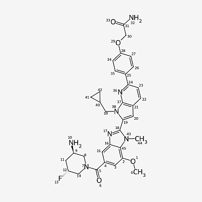 COc1cc(C(=O)N2C[C@H](N)C[C@@H](F)C2)cc2nc(-c3cc4ccc(-c5ccc(OCC(N)=O)cc5)nc4n3CC3CC3)n(C)c12